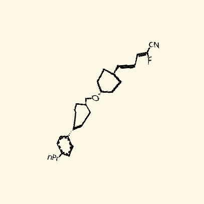 CCCc1ccc([C@H]2CC[C@H](CO[C@H]3CC[C@H](/C=C/C=C(\F)C#N)CC3)CC2)cc1